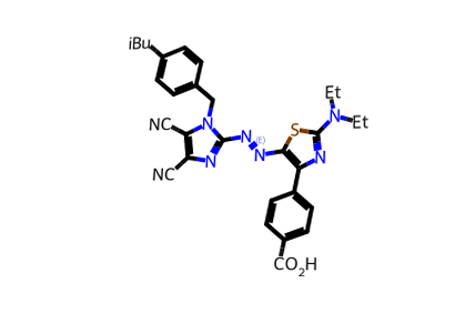 CCC(C)c1ccc(Cn2c(/N=N/c3sc(N(CC)CC)nc3-c3ccc(C(=O)O)cc3)nc(C#N)c2C#N)cc1